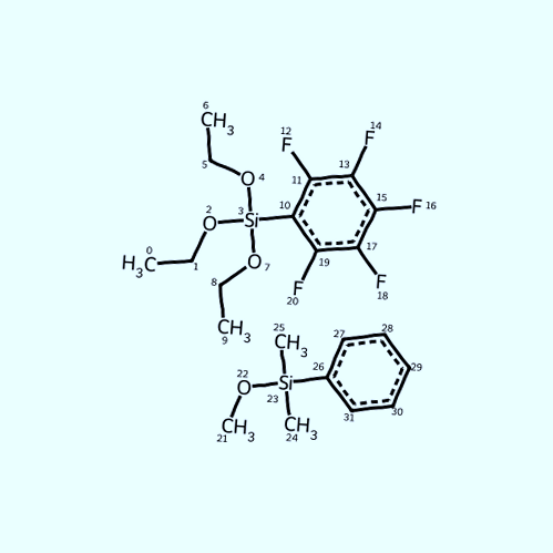 CCO[Si](OCC)(OCC)c1c(F)c(F)c(F)c(F)c1F.CO[Si](C)(C)c1ccccc1